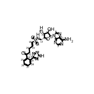 Nc1ncnc2c1ncn2[C@@H]1O[C@H](CNS(=O)(=O)/C=C/CCC(=O)c2ccccc2-c2nn[nH]n2)[C@@H](O)[C@H]1O